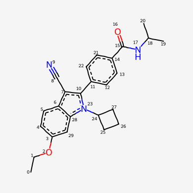 CCOc1ccc2c(C#N)c(-c3ccc(C(=O)NC(C)C)cc3)n(C3CCC3)c2c1